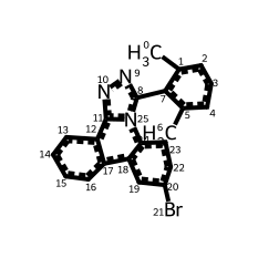 Cc1cccc(C)c1-c1nnc2c3ccccc3c3cc(Br)ccc3n12